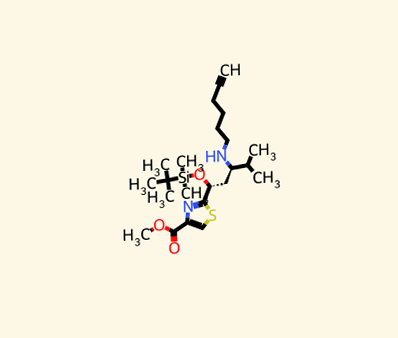 C#CCCCCN[C@H](C[C@@H](O[Si](C)(C)C(C)(C)C)c1nc(C(=O)OC)cs1)C(C)C